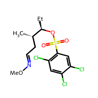 CC[C@@H](OS(=O)(=O)c1cc(Cl)c(Cl)cc1Cl)[C@@H](C)CC=NOC